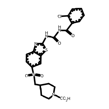 O=C(NC(=O)c1ccccc1Cl)Nc1nc2ccc(S(=O)(=O)CC3CCN(C(=O)O)CC3)cc2s1